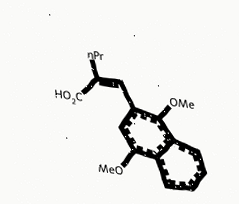 CCC/C(=C/c1cc(OC)c2ccccc2c1OC)C(=O)O